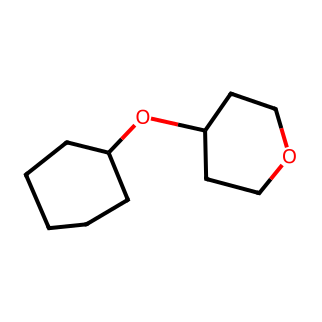 C1CCC(OC2CCOCC2)CC1